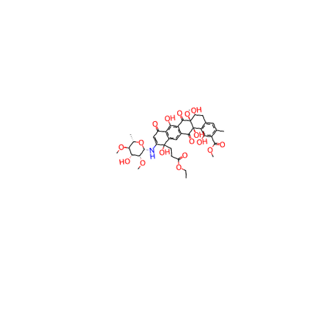 CCOC(=O)CCC1(O)C(N[C@H]2O[C@@H](C)[C@H](OC)[C@@H](O)[C@H]2OC)=CC(=O)c2c1cc1c(c2O)C(=O)[C@]2(OC)[C@H](O)Cc3cc(C)c(C(=O)OC)c(O)c3[C@]2(O)C1=O